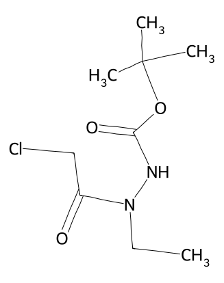 CCN(NC(=O)OC(C)(C)C)C(=O)CCl